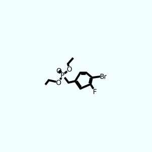 CCOP(=O)(Cc1ccc(Br)c(F)c1)OCC